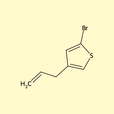 C=CCc1csc(Br)c1